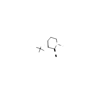 CC(C)(C)O[C@@H]1CCCN(N)C1=C=O